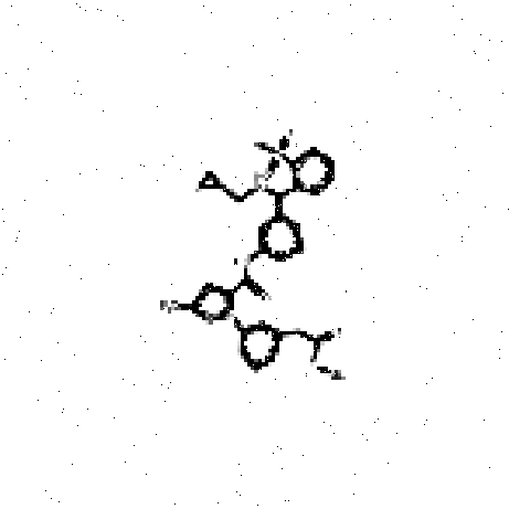 CC(C)(C)OC(=O)Cc1cccc(-n2nc(C(F)(F)F)cc2C(=O)Nc2cccc(C(NCC3CC3)c3ccccc3S(C)(=O)=O)c2)c1